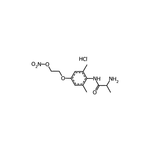 Cc1cc(OCCO[N+](=O)[O-])cc(C)c1NC(=O)C(C)N.Cl